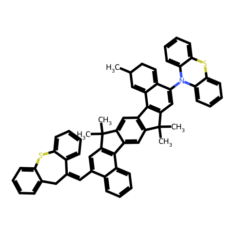 CC1C=c2c3c(cc(N4c5ccccc5Sc5ccccc54)c2=CC1)C(C)(C)c1cc2c(cc1-3)C(C)(C)c1cc(/C=C3/Cc4ccccc4Sc4ccccc43)c3ccccc3c1-2